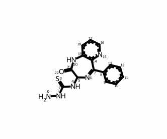 NNC(=S)NC1N=C(c2ccccc2)c2ncccc2NC1=O